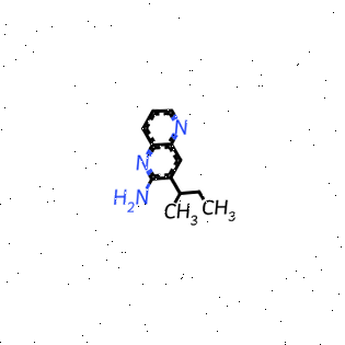 CCC(C)c1cc2ncccc2nc1N